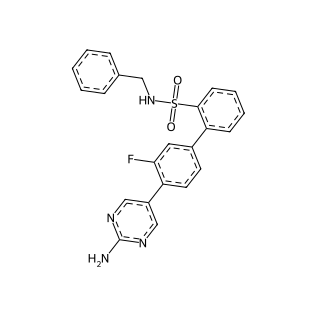 Nc1ncc(-c2ccc(-c3ccccc3S(=O)(=O)NCc3ccccc3)cc2F)cn1